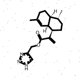 C=C(C(=O)OCc1c[nH]nn1)[C@@H]1CC[C@@H](C)[C@@H]2CCC(C)=C[C@@H]21